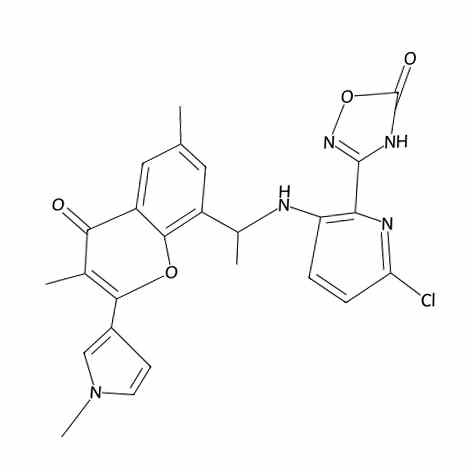 Cc1cc(C(C)Nc2ccc(Cl)nc2-c2noc(=O)[nH]2)c2oc(-c3ccn(C)c3)c(C)c(=O)c2c1